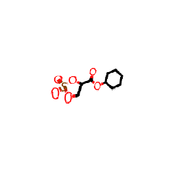 O=C(OC1CCCCC1)C1COS(=O)(=O)O1